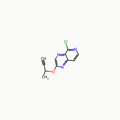 C#CC(C)Oc1cnc2c(Cl)nccc2n1